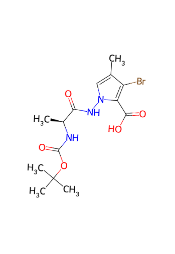 Cc1cn(NC(=O)[C@H](C)NC(=O)OC(C)(C)C)c(C(=O)O)c1Br